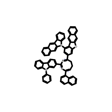 C1=C(c2cccc3ccccc23)/N=C(c2ccc3c4ccccc4n(-c4ccccc4)c3c2)\N=C(\c2cc(-n3c4ccccc4c4cc5ccccc5cc43)c3c(c2)oc2cc4ccccc4cc23)CC\1